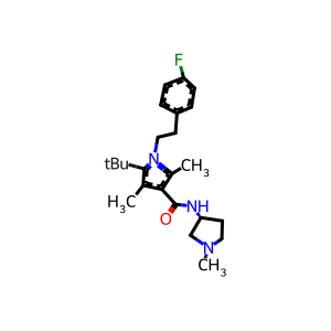 Cc1c(C(=O)N[C@H]2CCN(C)C2)c(C)n(CCc2ccc(F)cc2)c1C(C)(C)C